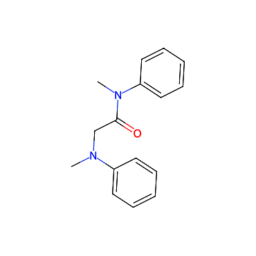 CN(CC(=O)N(C)c1ccccc1)c1ccccc1